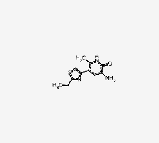 CCc1nc(-c2cc(N)c(=O)[nH]c2C)cs1